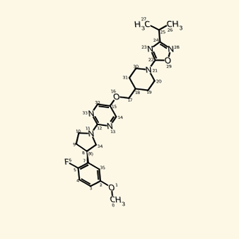 COc1ccc(F)c([C@H]2CCN(c3ncc(OCC4CCN(c5nc(C(C)C)no5)CC4)cn3)C2)c1